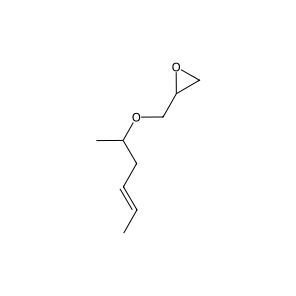 CC=CCC(C)OCC1CO1